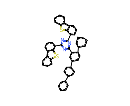 c1ccc(-c2ccc(-c3ccc(-c4ccccc4)c(-c4nc(-c5cccc6c5sc5ccccc56)nc(-c5cccc6c5sc5ccccc56)n4)c3)cc2)cc1